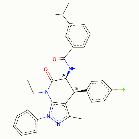 CCN1C(=O)[C@@H](NC(=O)c2cccc(C(C)C)c2)[C@@H](c2ccc(F)cc2)c2c(C)nn(-c3ccccc3)c21